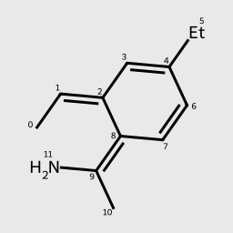 C/C=c1/cc(CC)cc/c1=C(\C)N